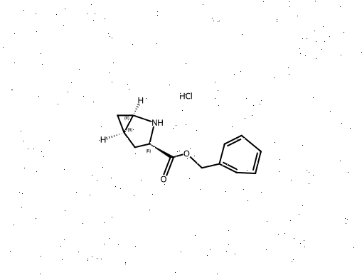 Cl.O=C(OCc1ccccc1)[C@H]1C[C@H]2C[C@H]2N1